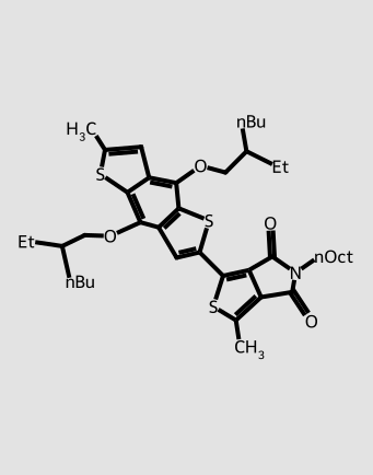 CCCCCCCCN1C(=O)c2c(C)sc(-c3cc4c(OCC(CC)CCCC)c5sc(C)cc5c(OCC(CC)CCCC)c4s3)c2C1=O